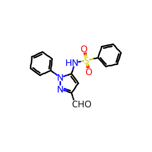 O=Cc1cc(NS(=O)(=O)c2ccccc2)n(-c2ccccc2)n1